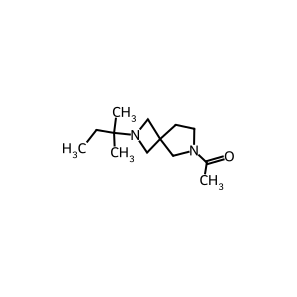 CCC(C)(C)N1CC2(CCN(C(C)=O)C2)C1